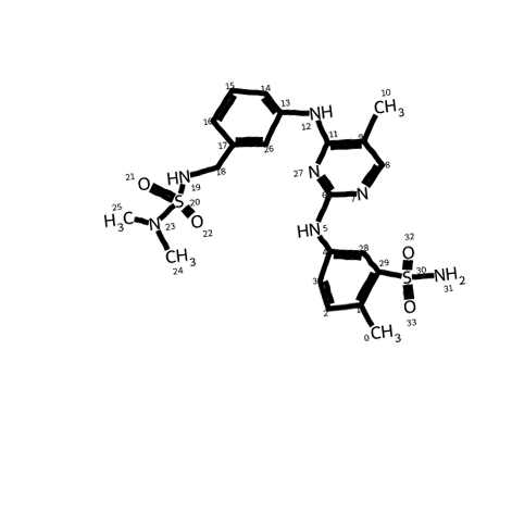 Cc1ccc(Nc2ncc(C)c(Nc3cccc(CNS(=O)(=O)N(C)C)c3)n2)cc1S(N)(=O)=O